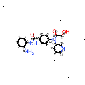 Nc1ccccc1NC(=O)c1ccc(N(C(=O)CO)c2cccnc2)cc1